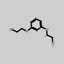 ClCCOc1c[c]cc(OCCCl)c1